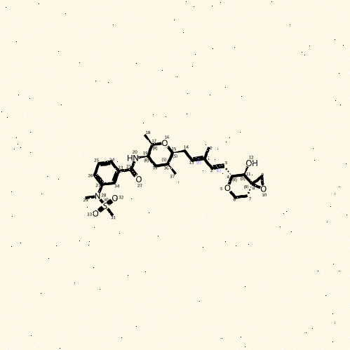 CC(/C=C/[C@H]1OCC[C@@]2(CO2)[C@@H]1O)=C\C[C@@H]1O[C@H](C)[C@H](NC(=O)c2cccc(N(C)S(C)(=O)=O)c2)C[C@@H]1C